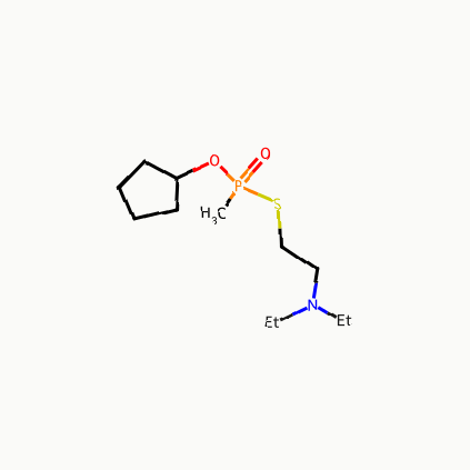 CCN(CC)CCSP(C)(=O)OC1CCCC1